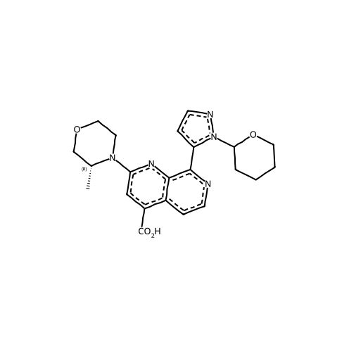 C[C@@H]1COCCN1c1cc(C(=O)O)c2ccnc(-c3ccnn3C3CCCCO3)c2n1